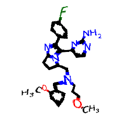 COCCCN(Cc1ccccc1OC)CC1CCc2nc(-c3ccc(F)cc3)c(-c3ccnc(N)n3)n21